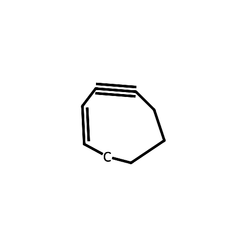 C1#CCCCC/C=C\1